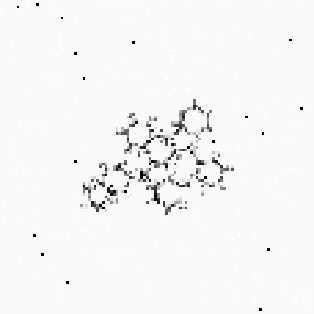 c1ccc(-n2c3ccccc3c3c4ccccc4c4c(c5ccccc5n4-c4ccc5ncsc5c4)c32)cc1